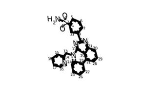 NS(=O)(=O)c1cccc(-c2nc(NCc3ccccn3)c3c(-c4ccccc4)cccc3n2)c1